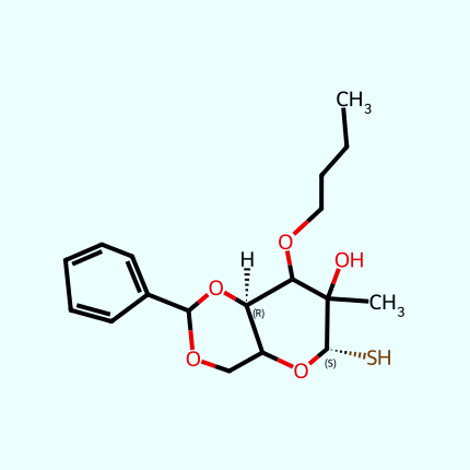 CCCCOC1[C@@H]2OC(c3ccccc3)OCC2O[C@@H](S)C1(C)O